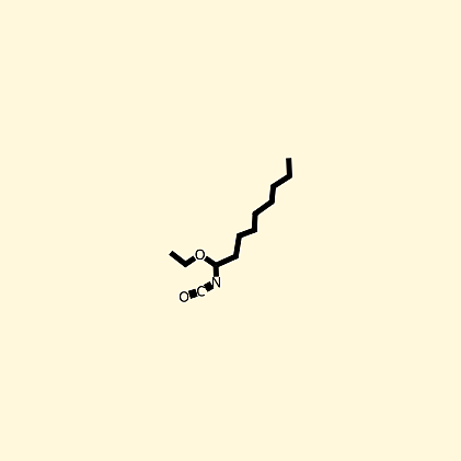 CCCCCCCCC(N=C=O)OCC